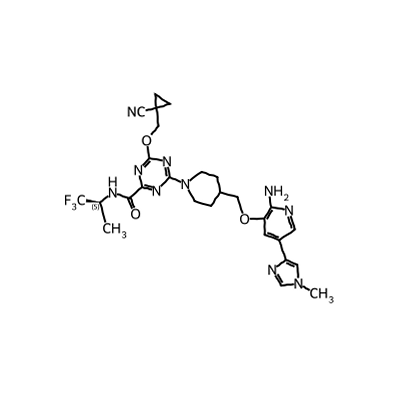 C[C@H](NC(=O)c1nc(OCC2(C#N)CC2)nc(N2CCC(COc3cc(-c4cn(C)cn4)cnc3N)CC2)n1)C(F)(F)F